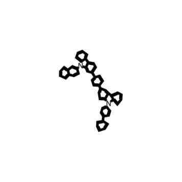 c1ccc(-c2ccc(-n3c4ccccc4c4cc(-c5ccc(-c6ccc7c8ccccc8n(-c8ccc9ccccc9c8)c7c6)cc5)ccc43)cc2)cc1